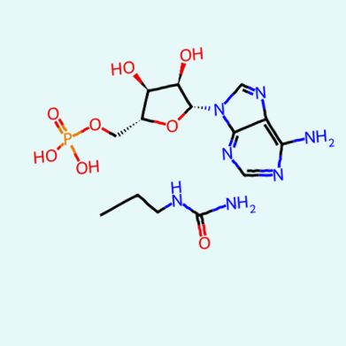 CCCNC(N)=O.Nc1ncnc2c1ncn2[C@@H]1O[C@H](COP(=O)(O)O)[C@@H](O)[C@H]1O